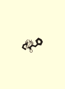 C[C@@H]1CCCN1C(=O)[C@H](N)Cc1ccccc1